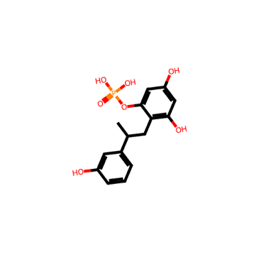 CC(Cc1c(O)cc(O)cc1OP(=O)(O)O)c1cccc(O)c1